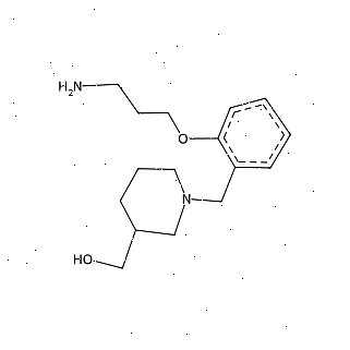 NCCCOc1ccccc1CN1CCCC(CO)C1